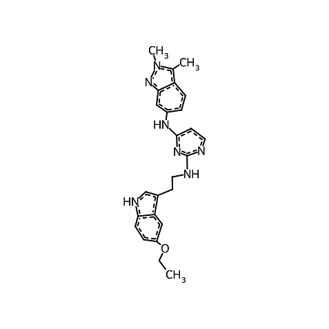 CCOc1ccc2[nH]cc(CCNc3nccc(Nc4ccc5c(C)n(C)nc5c4)n3)c2c1